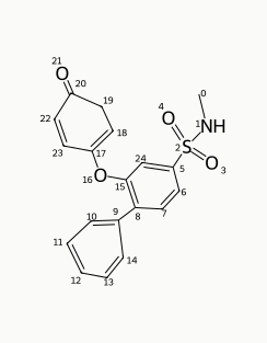 CNS(=O)(=O)c1ccc(-c2ccccc2)c(OC2=CCC(=O)C=C2)c1